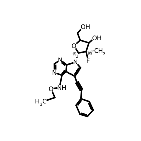 CCONc1ncnc2c1c(C#Cc1ccccc1)cn2[C@@H]1OC(CO)C(O)[C@@]1(C)F